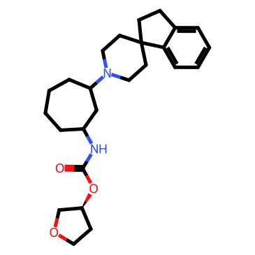 O=C(NC1CCCCC(N2CCC3(CCc4ccccc43)CC2)C1)O[C@H]1CCOC1